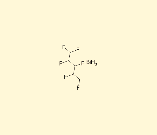 FCC(F)C(F)C(F)C(F)F.[BiH3]